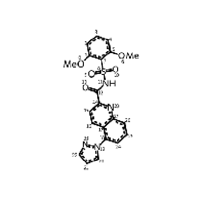 COc1cccc(OC)c1S(=O)(=O)NC(=O)c1ccc2c(-n3cccn3)cccc2n1